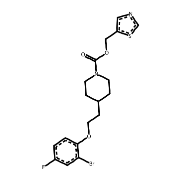 O=C(OCc1cncs1)N1CCC(CCOc2ccc(F)cc2Br)CC1